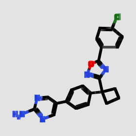 Nc1ncc(-c2ccc(C3(c4noc(-c5ccc(Cl)cc5)n4)CCC3)cc2)cn1